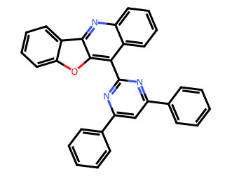 c1ccc(-c2cc(-c3ccccc3)nc(-c3c4ccccc4nc4c3oc3ccccc34)n2)cc1